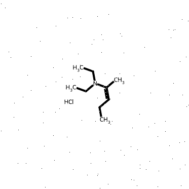 CCC=C(C)N(CC)CC.Cl